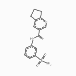 NS(=O)(=O)c1cccc(NC(=O)c2cnc3c(c2)CCC3)c1